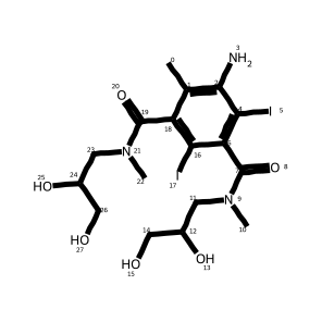 Cc1c(N)c(I)c(C(=O)N(C)CC(O)CO)c(I)c1C(=O)N(C)CC(O)CO